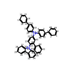 c1ccc(-c2ccc(N(c3ccc(-c4ccccc4)cc3)c3ccc(-n4c5ccccc5c5ccccc54)c(-c4ccccc4)c3)cc2)cc1